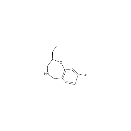 CC[C@@H]1CNCc2ccc(F)cc2O1